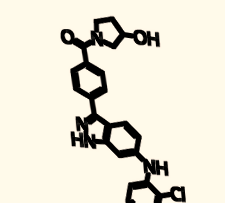 O=C(c1ccc(-c2n[nH]c3cc(Nc4ccccc4Cl)ccc23)cc1)N1CCC(O)C1